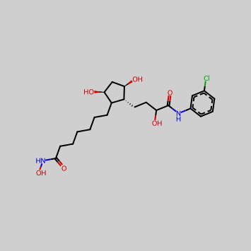 O=C(CCCCCCC1[C@@H](CCC(O)C(=O)Nc2cccc(Cl)c2)[C@H](O)C[C@@H]1O)NO